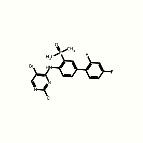 CP(C)(=O)c1cc(-c2ccc(F)cc2F)ccc1Nc1nc(Cl)ncc1Br